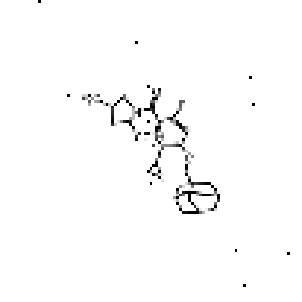 O=C(O)C1CC(C(F)(F)F)CN1C(=O)c1cc(C2CC2)c(OCC23CC4CC(CC(C4)C2)C3)cc1F